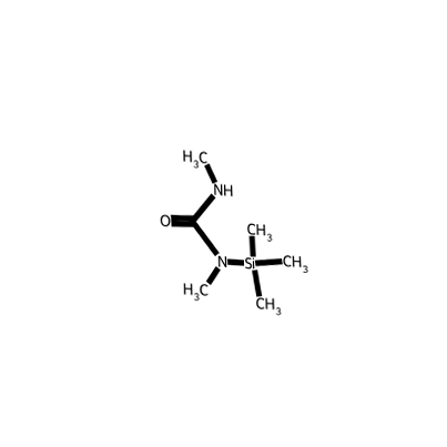 CNC(=O)N(C)[Si](C)(C)C